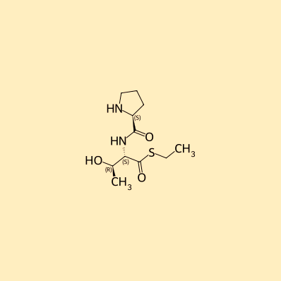 CCSC(=O)[C@@H](NC(=O)[C@@H]1CCCN1)[C@@H](C)O